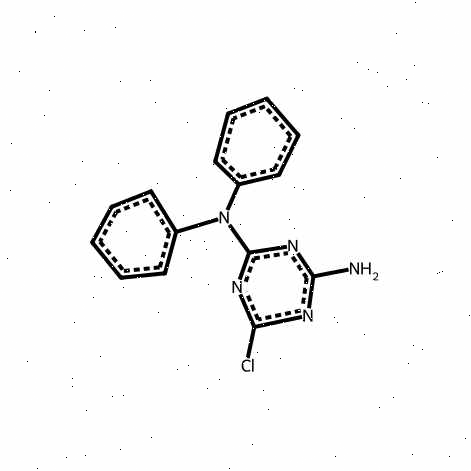 Nc1nc(Cl)nc(N(c2ccccc2)c2ccccc2)n1